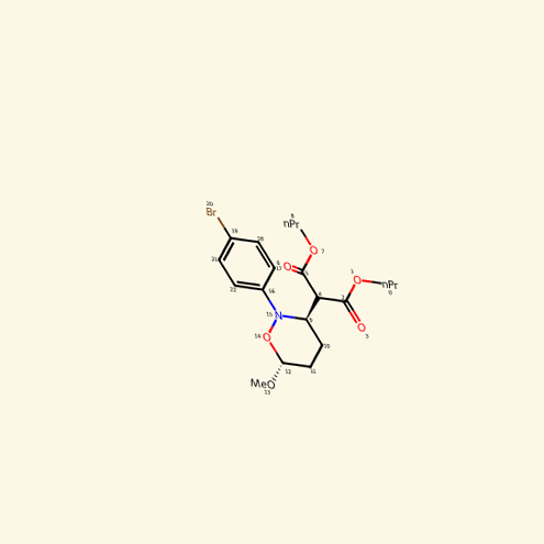 CCCOC(=O)C(C(=O)OCCC)[C@H]1CC[C@H](OC)ON1c1ccc(Br)cc1